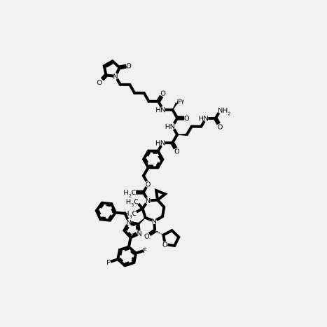 C=C(OCc1ccc(NC(=O)[C@H](CCCNC(N)=O)NC(=O)[C@@H](NC(=O)CCCCCN2C(=O)C=CC2=O)C(C)C)cc1)N1C2(CCN(C(=O)[C@@H]3CCCO3)[C@@H](c3nc(-c4cc(F)ccc4F)cn3Cc3ccccc3)C1(C)C)CC2